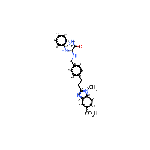 Cn1c(CCc2ccc(CNC(Nc3ccccc3)C(N)=O)cc2)nc2cc(C(=O)O)ccc21